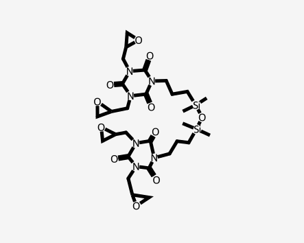 C[Si](C)(CCCn1c(=O)n(CC2CO2)c(=O)n(CC2CO2)c1=O)O[Si](C)(C)CCCn1c(=O)n(CC2CO2)c(=O)n(CC2CO2)c1=O